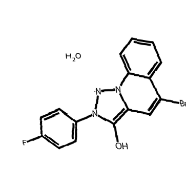 O.OC1=C2C=C(Br)c3ccccc3N2[N]N1c1ccc(F)cc1